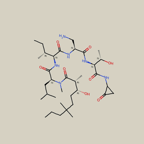 CCCC(C)(C)CC[C@@H](O)[C@@H](C)C(=O)N(C)[C@@H](CC(C)C)C(=O)N[C@H](C(=O)N[C@@H](CN)C(=O)N[C@H](C(=O)NC1CC1=O)[C@H](C)O)[C@H](C)CC